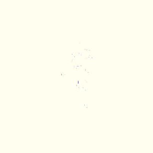 COc1nn([C@H]2CCN(C)C2)cc1Nc1nc(Cl)nn2c(Br)cnc12